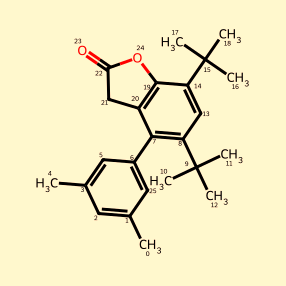 Cc1cc(C)cc(-c2c(C(C)(C)C)cc(C(C)(C)C)c3c2CC(=O)O3)c1